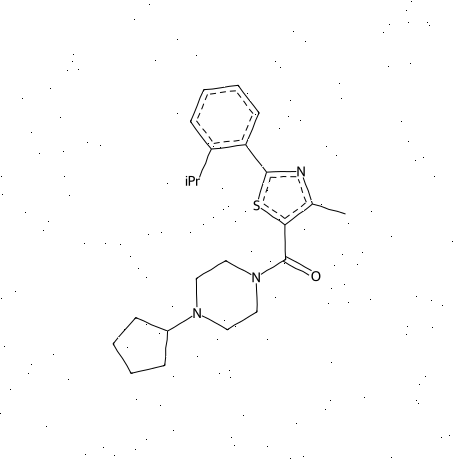 Cc1nc(-c2ccccc2C(C)C)sc1C(=O)N1CCN(C2CCCC2)CC1